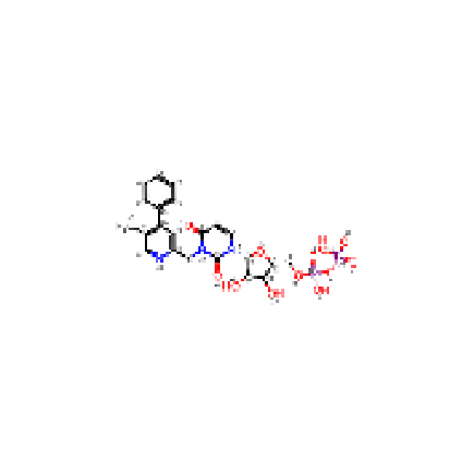 O=c1ccn([C@@H]2O[C@H](COP(=O)(O)OP(=O)(O)O)C(O)C2O)c(=O)n1Cc1cc(-c2ccccc2)c(C(F)(F)F)cn1